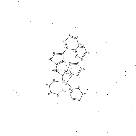 O=C(Nc1nc(-c2cccc3ccccc23)cs1)C1(C(C2=CC=CCC2)c2ccccc2)CCCCC1